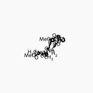 C=CCOC(=O)N1c2cc(OCCCC(=O)Nc3cn(C)c(C(=O)Nc4cc(C(=O)OC)n(C)c4)n3)c(OC)cc2C(=O)N2CCC[C@H]2C1OC1CCCCO1